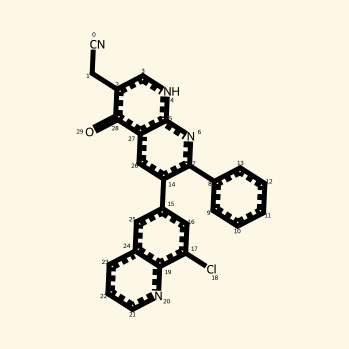 N#CCc1c[nH]c2nc(-c3ccccc3)c(-c3cc(Cl)c4ncccc4c3)cc2c1=O